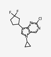 FC1(F)CCC(c2cn(C3CC3)c3cnc(Cl)nc23)C1